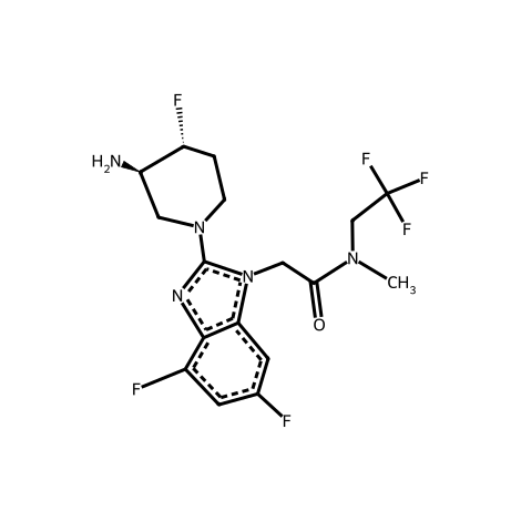 CN(CC(F)(F)F)C(=O)Cn1c(N2CC[C@@H](F)[C@H](N)C2)nc2c(F)cc(F)cc21